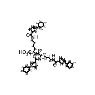 O=C(NCCCC[C@H](NC(=O)[C@H](CCCCNC(=O)c1nnn(-c2ccccc2)n1)NC(=O)c1nnn(-c2ccccc2)n1)C(=O)O)c1nnn(C2=CC=CCC2)n1